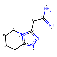 N=C(N)Cc1nnc2n1CCCC2